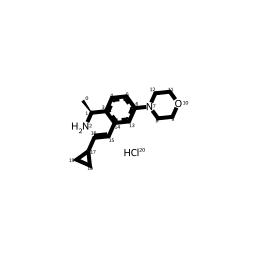 C[C@H](N)c1ccc(N2CCOCC2)cc1/C=C/C1CC1.Cl